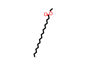 [CH2]CCCCCCCCCCCCCCCCC(=O)OCC